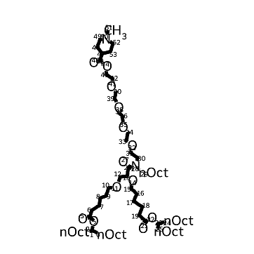 CCCCCCCCC(CCCCCCCC)OC(=O)CCCCCOCC(OCCCCCC(=O)OC(CCCCCCCC)CCCCCCCC)C(=O)N(CCCCCCCC)CCOCCOCCOCCOCCOC(=O)C1CCN(C)CC1